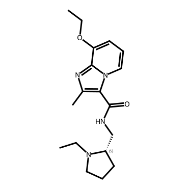 CCOc1cccn2c(C(=O)NC[C@@H]3CCCN3CC)c(C)nc12